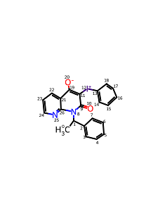 CC(c1ccccc1)n1c(=O)c([I+]c2ccccc2)c([O-])c2cccnc21